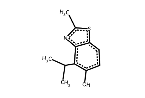 Cc1nc2c(C(C)C)c(O)ccc2s1